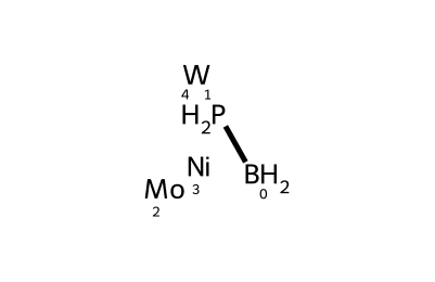 BP.[Mo].[Ni].[W]